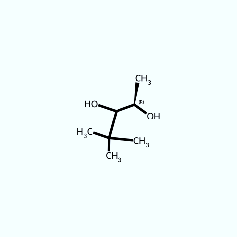 C[C@@H](O)C(O)C(C)(C)C